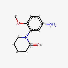 COc1ccc(N)cc1N1CCCCC1=O